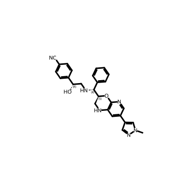 Cn1cc(-c2cnc3c(c2)NC[C@@H]([C@H](NC[C@H](O)c2ccc(C#N)cc2)c2ccccc2)O3)cn1